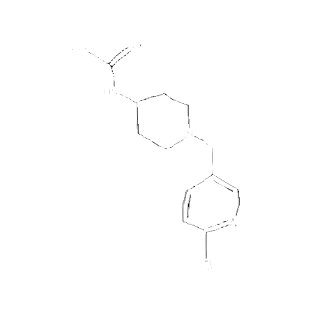 O=C(O)NC1CCN(Cc2ccc(Cl)nc2)CC1